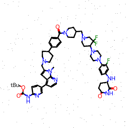 Cn1c(CN2CCC(c3ccc(C(=O)N4CCC(CN5CCC(N6CCN(c7ccc(NC8CCC(=O)NC8=O)cc7F)CC6)C(F)(F)C5)CC4)cc3)CC2)cc2c(-c3ccc(NC(=O)OC(C)(C)C)nc3)ccnc21